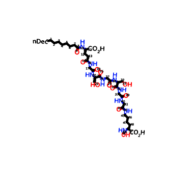 CCCCCCCCCCCCCCCCCC(=O)NC(CCC(=O)NCC(=O)NC(CO)C(=O)NCC(=O)NC(CO)C(=O)NCC(=O)NCC(=O)NCCCCC(NO)C(=O)O)C(=O)O